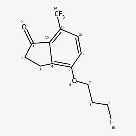 O=C1CCc2c(OCCCF)ccc(C(F)(F)F)c21